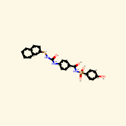 O=C(NSc1ccc2ccccc2c1)Nc1ccc(C(=O)NS(=O)(=O)c2ccc(O)cc2)cc1